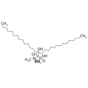 CCCCCCCCCCCCCCC(O)(CCCCCCCCCCCCCC)C([N+](C)(C)C)P(=O)(O)O